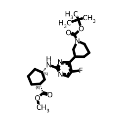 COC(=O)[C@@H]1CCC[C@H](Nc2ncc(F)c(C3CCCN(C(=O)OC(C)(C)C)C3)n2)C1